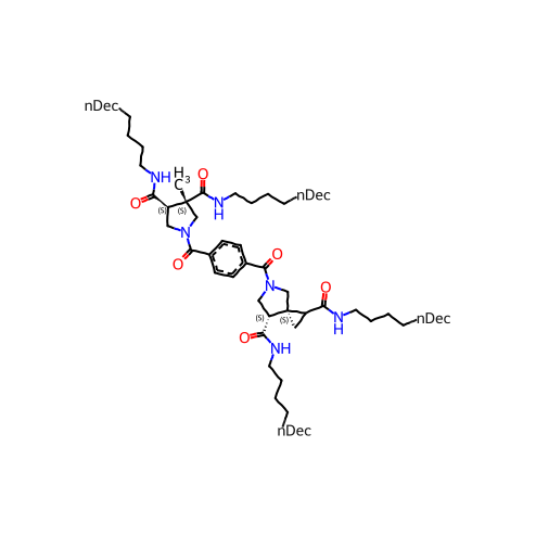 CCCCCCCCCCCCCCNC(=O)C1C[C@]12CN(C(=O)c1ccc(C(=O)N3C[C@@H](C(=O)NCCCCCCCCCCCCCC)[C@](C)(C(=O)NCCCCCCCCCCCCCC)C3)cc1)C[C@H]2C(=O)NCCCCCCCCCCCCCC